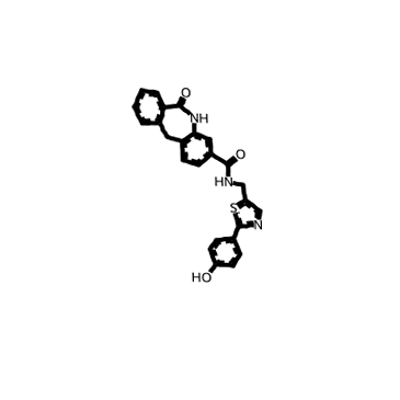 O=C(NCc1cnc(-c2ccc(O)cc2)s1)c1ccc2c(c1)NC(=O)c1ccccc1C2